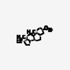 CC[C@H]1CCC2C3CCC4CC(O[N])CC[C@]4(C)C3CC[C@@]21C